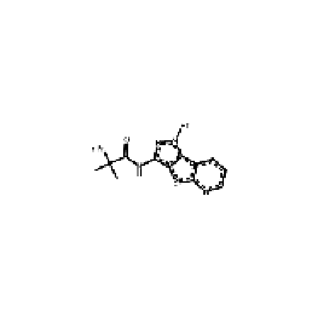 CCCC(C)(C)C(=O)Nc1nn(CC)c2c1sc1ncccc12